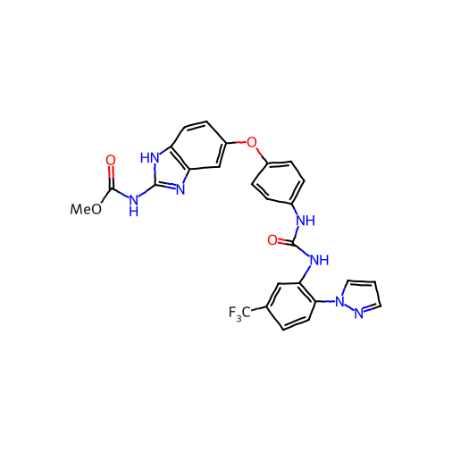 COC(=O)Nc1nc2cc(Oc3ccc(NC(=O)Nc4cc(C(F)(F)F)ccc4-n4cccn4)cc3)ccc2[nH]1